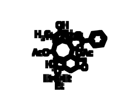 CC[Si](CC)(CC)OC1CC2OCC2(OC(C)=O)C2C(OC(=O)c3ccccc3)C3(O)CC(O)C(C)=C(C(OC(C)=O)C(=O)C12C)C3(C)C